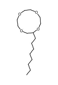 CCCCCCCCC1COCCOCCOCCO1